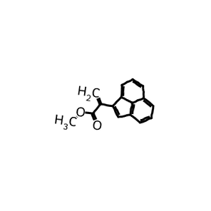 C=C(C(=O)OC)C1=Cc2cccc3cccc1c23